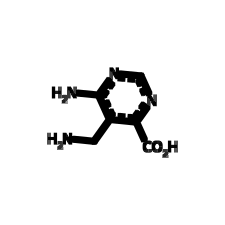 NCc1c(N)ncnc1C(=O)O